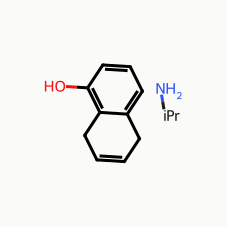 CC(C)N.Oc1cccc2c1CC=CC2